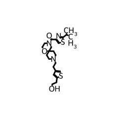 CC(C)c1nc(C(=O)N2CCOC3(CCN(CCc4csc(CCO)c4)CC3)C2)cs1